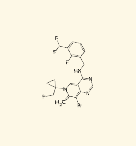 C=C1C(Br)=c2ncnc(NCc3cccc(C(F)F)c3F)c2=CN1C1(CF)CC1